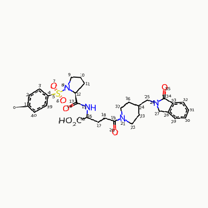 Cc1ccc(S(=O)(=O)N2CCC[C@H]2C(=O)NC(CCC(=O)N2CCC(CN3Cc4ccccc4C3=O)CC2)C(=O)O)cc1